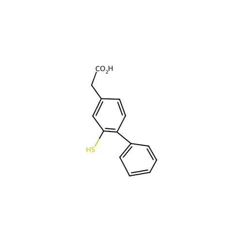 O=C(O)Cc1ccc(-c2ccccc2)c(S)c1